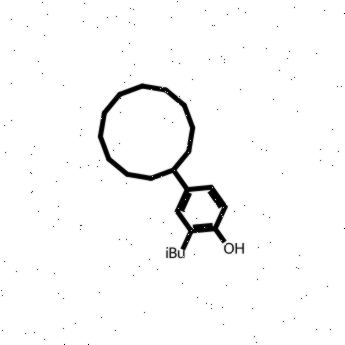 CCC(C)c1cc(C2CCCCCCCCCCC2)ccc1O